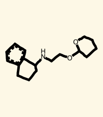 c1ccc2c(c1)CCCC2NCCOC1CCCCO1